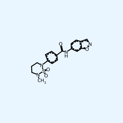 CN1CCCN(c2ccc(C(=O)Nc3ccc4cnoc4c3)cc2)S1(=O)=O